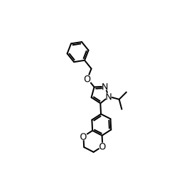 CC(C)n1nc(OCc2ccccc2)cc1-c1ccc2c(c1)OCCO2